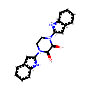 O=C1C(=O)N(c2cc3ccccc3[nH]2)CCN1c1cc2ccccc2[nH]1